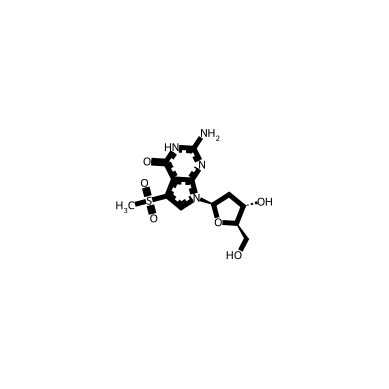 CS(=O)(=O)c1cn([C@H]2C[C@H](O)[C@@H](CO)O2)c2nc(N)[nH]c(=O)c12